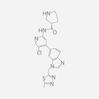 Cc1nnc(Cn2cnc3ccc(-c4cc(NC(=O)[C@@H]5CCCNC5)ncc4Cl)cc32)s1